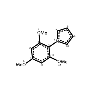 COc1cc(OC)c(-n2cccc2)c(OC)c1